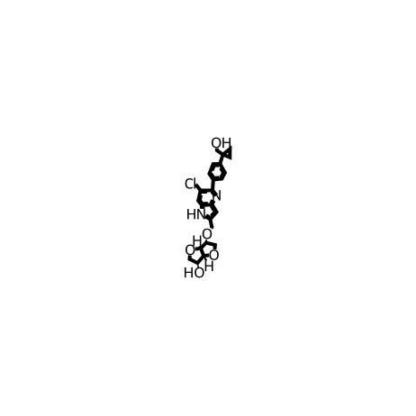 OCC1(c2ccc(-c3nc4cc(CO[C@@H]5CO[C@H]6[C@@H]5OC[C@H]6O)[nH]c4cc3Cl)cc2)CC1